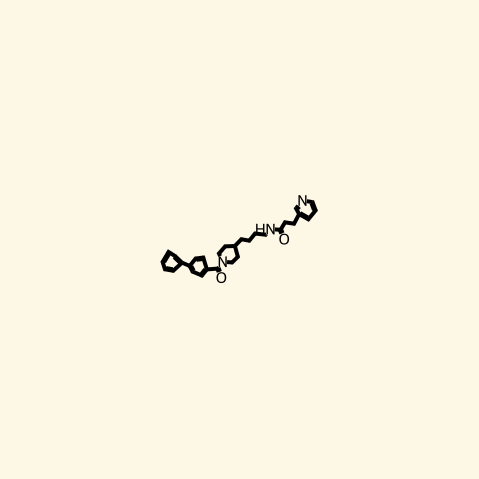 O=C(CCc1cccnc1)NCCCCC1CCN(C(=O)c2ccc(-c3ccccc3)cc2)CC1